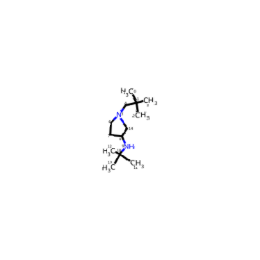 CC(C)(C)CN1CCC(NC(C)(C)C)C1